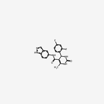 CC1=C(C(=O)Nc2ccc3[nH]ncc3c2)C(c2ccc(F)cc2F)NC(=O)N1